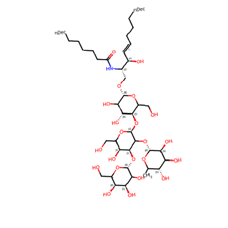 CCCCCCCCCCCCC/C=C/[C@@H](O)[C@H](CO[C@@H]1OC(CO)[C@@H](O[C@@H]2OC(CO)[C@H](O)[C@H](O[C@H]3OC(CO)[C@H](O)[C@H](O)C3O)C2O[C@H]2OC(C)[C@@H](O)C(O)[C@@H]2O)[C@H](O)C1O)NC(=O)CCCCCCCCCCCCCCC